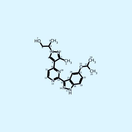 Cc1nn(C(C)CO)cc1-c1ccnc(-c2n[nH]c3ccc(OC(C)C)cc23)n1